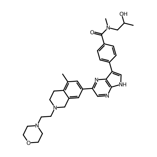 Cc1cc(-c2cnc3[nH]cc(-c4ccc(C(=O)N(C)CC(C)O)cc4)c3n2)cc2c1CCN(CCN1CCOCC1)C2